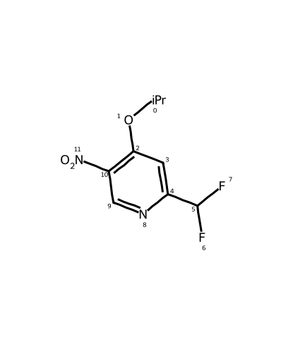 CC(C)Oc1cc(C(F)F)ncc1[N+](=O)[O-]